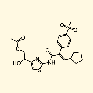 CC(=O)OCC(O)c1csc(NC(=O)/C(=C/C2CCCC2)c2ccc(S(C)(=O)=O)cc2)n1